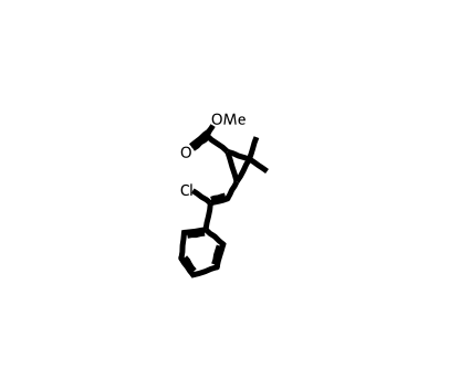 COC(=O)C1C(C=C(Cl)c2ccccc2)C1(C)C